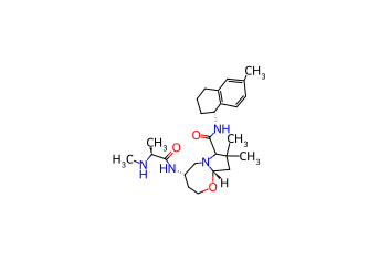 CN[C@@H](C)C(=O)N[C@H]1CCO[C@H]2CC(C)(C)C(C(=O)N[C@@H]3CCCc4cc(C)ccc43)N2C1